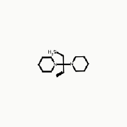 C=CC(C[SiH3])(N1CCCCC1)N1CCCCC1